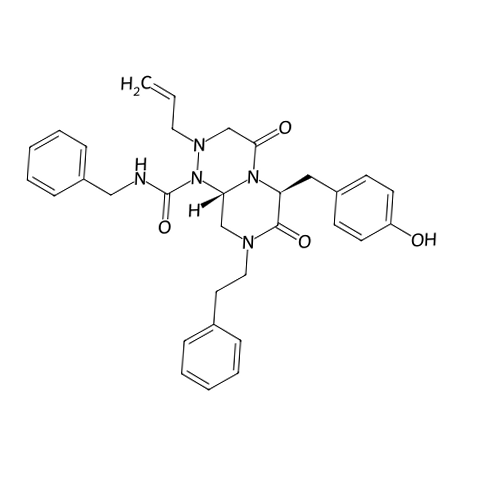 C=CCN1CC(=O)N2[C@@H](Cc3ccc(O)cc3)C(=O)N(CCc3ccccc3)C[C@@H]2N1C(=O)NCc1ccccc1